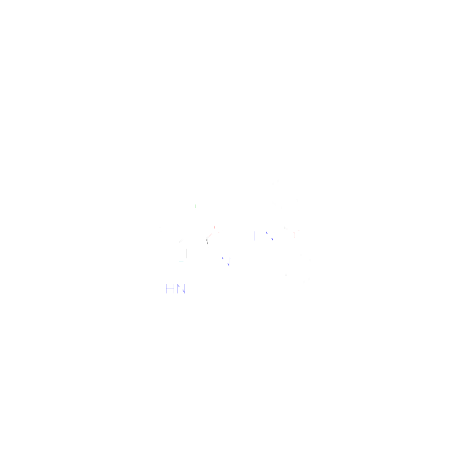 Cc1cccc(C)c1C(=O)NC(CCN1CC2CNC[C@H]2[C@H]1C(=O)c1c(F)cccc1Cl)c1ccccc1